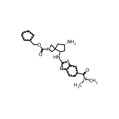 CN(C)C(=O)c1ccc2nc(N[C@@H]3C[C@@H](N)CC34CN(C(=O)OCc3ccccc3)C4)sc2c1